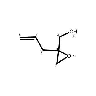 C=CCC1(CO)CO1